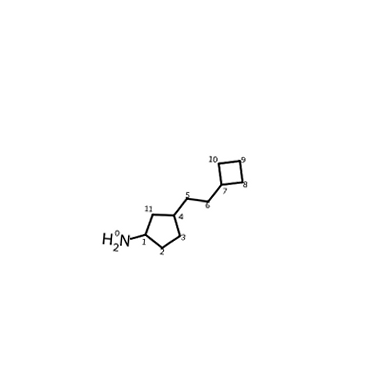 NC1CCC(CCC2CCC2)C1